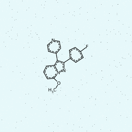 COc1cccc2c(-c3ccncc3)c(-c3ccc(F)cc3)nn12